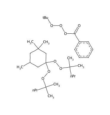 CC(C)(C)OOOC(=O)c1ccccc1.CCCC(C)(C)OOC1(OOC(C)(C)CCC)CC(C)CC(C)(C)C1